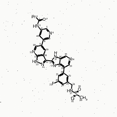 CC(C)C(=O)Nc1cncc(-c2cnc3[nH]nc(-c4nc5c(-c6cc(F)cc(CNS(C)(=O)=O)c6)cncc5[nH]4)c3c2)c1